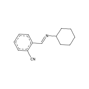 N#Cc1ccccc1C=NC1CCCCC1